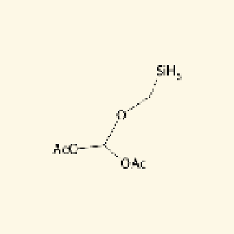 CC(=O)OC(OC[SiH3])OC(C)=O